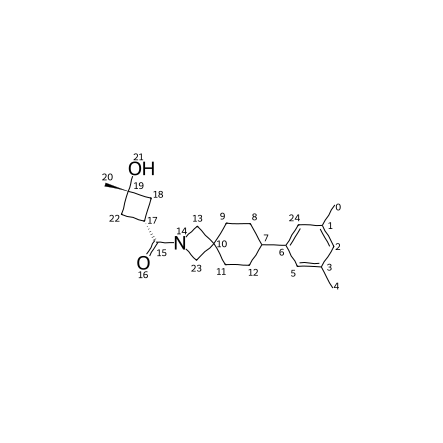 Cc1cc(C)cc(C2CCC3(CC2)CN(C(=O)[C@H]2C[C@@](C)(O)C2)C3)c1